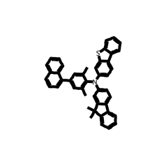 Cc1cc(-c2cccc3ccccc23)cc(C)c1N(c1ccc2c(c1)C(C)(C)c1ccccc1-2)c1ccc2c(c1)sc1ccccc12